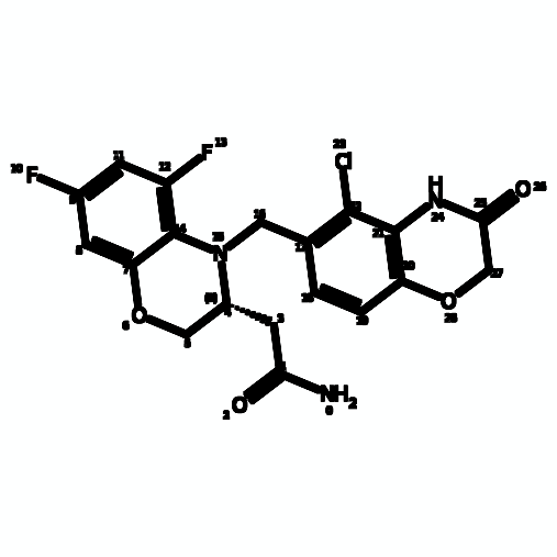 NC(=O)C[C@@H]1COc2cc(F)cc(F)c2N1Cc1ccc2c(c1Cl)NC(=O)CO2